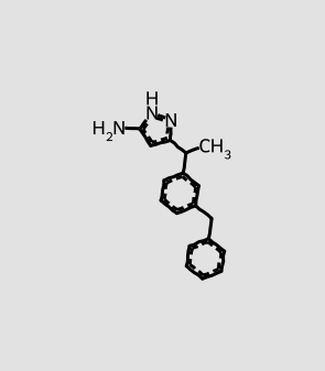 CC(c1cccc(Cc2ccccc2)c1)c1cc(N)[nH]n1